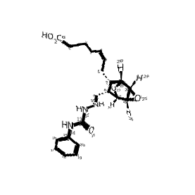 O=C(O)CCC/C=C\C[C@H]1[C@@H](CNNC(=O)Nc2ccccc2)[C@@H]2O[C@H]1[C@@H]1O[C@@H]12